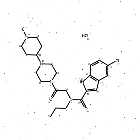 CCCN(CC(=O)N1CCN(C2CCN(C)CC2)CC1)C(=O)c1cc2cc(Cl)ccc2[nH]1.Cl